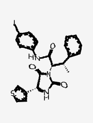 C[C@@H](c1ccccc1)[C@@H](C(=O)Nc1ccc(I)cc1)N1C(=O)N[C@H](c2ccsc2)C1=O